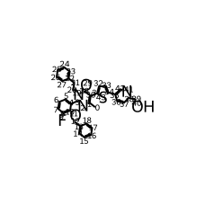 Cc1nc(-c2cccc(F)c2OCc2ccccc2)n(CCc2ccccc2)c(=O)c1-c1ccc(-c2ccc(CO)nc2)s1